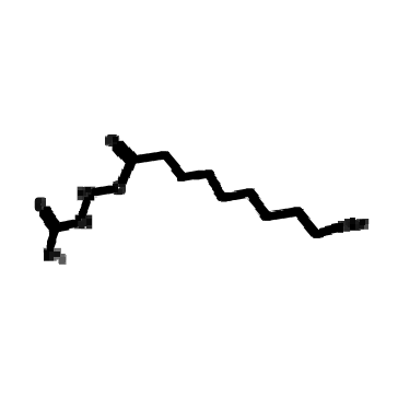 CCCCCCCCCCCCCCCCCC(=O)ONNC(N)=O